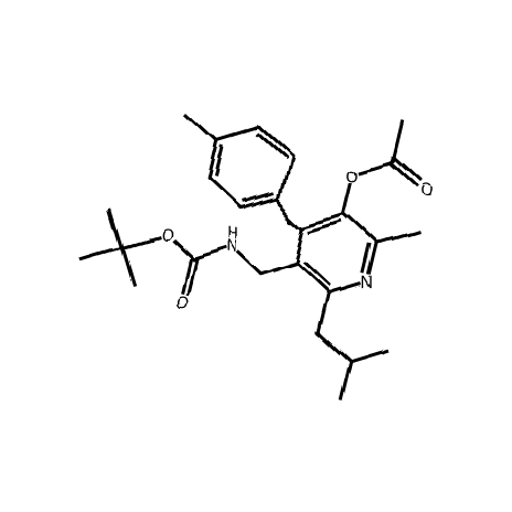 CC(=O)Oc1c(C)nc(CC(C)C)c(CNC(=O)OC(C)(C)C)c1-c1ccc(C)cc1